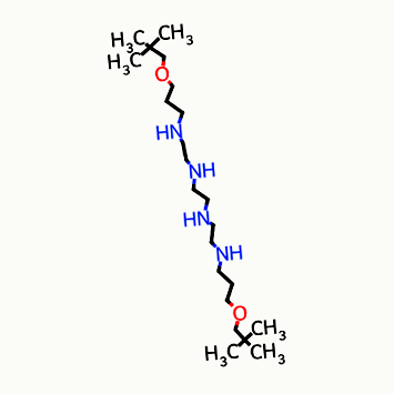 CC(C)(C)COCCCNCCNCCNCCNCCCOCC(C)(C)C